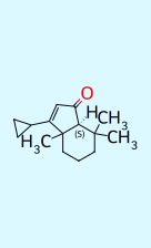 CC1(C)CCCC2(C)C(C3CC3)=CC(=O)[C@@H]12